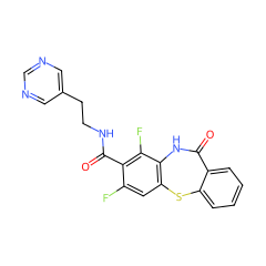 O=C1Nc2c(cc(F)c(C(=O)NCCc3cncnc3)c2F)Sc2ccccc21